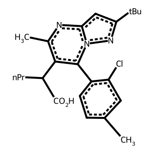 CCCC(C(=O)O)c1c(C)nc2cc(C(C)(C)C)nn2c1-c1ccc(C)cc1Cl